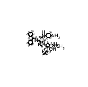 CCC(=O)N[C@H]1C[C@@H](n2cnc3c(NCC(c4ccccc4)c4ccccc4)nc(NC4CCC(N)CC4)nc32)[C@H](OC(=O)C(F)(F)F)[C@@H]1O